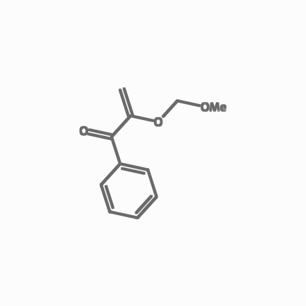 C=C(OCOC)C(=O)c1ccccc1